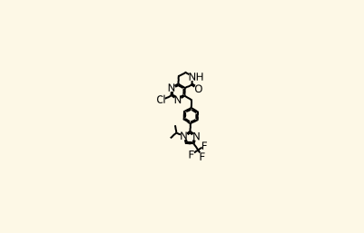 CC(C)n1cc(C(F)(F)F)nc1-c1ccc(Cc2nc(Cl)nc3c2C(=O)NCC3)cc1